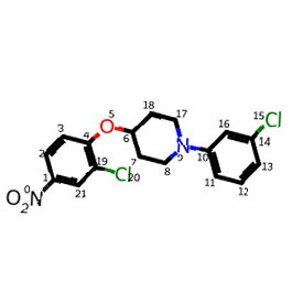 O=[N+]([O-])c1ccc(OC2CCN(c3cccc(Cl)c3)CC2)c(Cl)c1